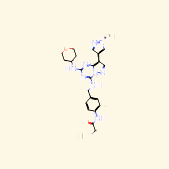 CCC(=O)Nc1ccc(CNc2nc(NC3CCOCC3)nc3c(-c4cnn(C)c4)cnn23)cc1